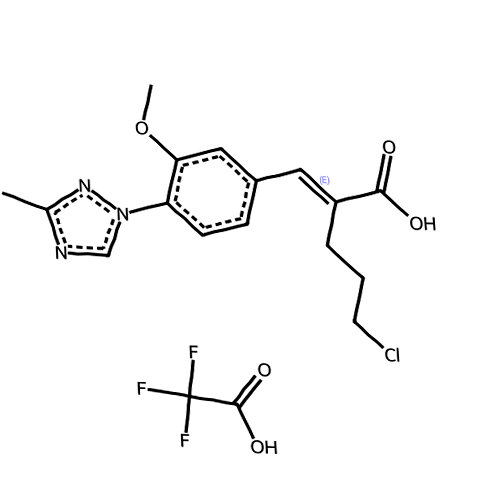 COc1cc(/C=C(\CCCCl)C(=O)O)ccc1-n1cnc(C)n1.O=C(O)C(F)(F)F